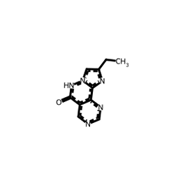 CCc1cn2[nH]c(=O)c3cncnc3c2n1